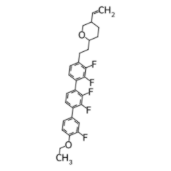 C=CC1CCC(CCc2ccc(-c3ccc(-c4ccc(OCC)c(F)c4)c(F)c3F)c(F)c2F)OC1